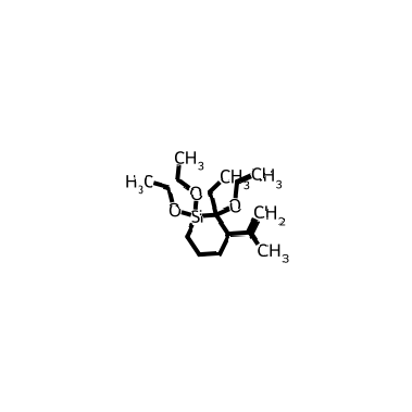 C=C(C)C1CCC[Si](OCC)(OCC)C1(CC)OCC